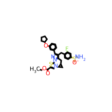 CCOC(=O)c1cnc(-n2nc(-c3cccc(OC4CCCC4)c3)c(Cc3ccc([S+](N)[O-])cc3F)c2CC2CC2)s1